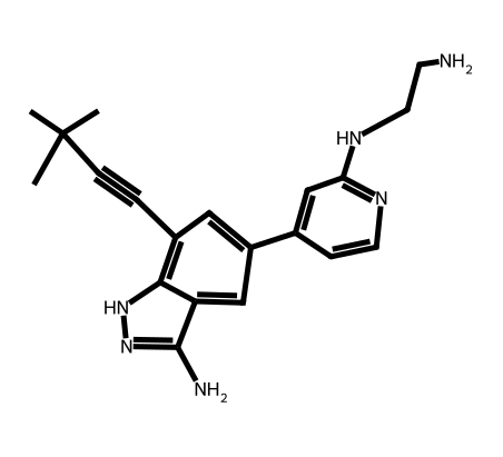 CC(C)(C)C#Cc1cc(-c2ccnc(NCCN)c2)cc2c(N)n[nH]c12